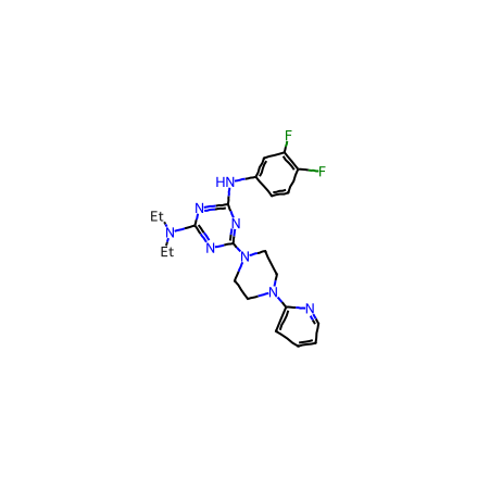 CCN(CC)c1nc(Nc2ccc(F)c(F)c2)nc(N2CCN(c3ccccn3)CC2)n1